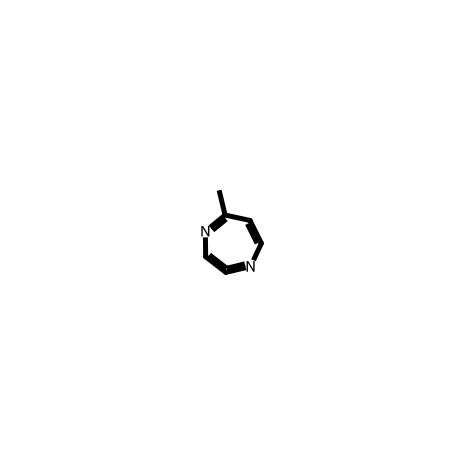 CC1=NC=C=NC=C1